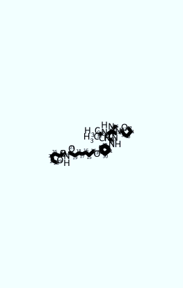 CC(C)(C)Nc1nc(Nc2ccc(OCCCCCCC(=O)NOC3CCCCO3)cc2)nc2c1ncn2C1CCCCO1